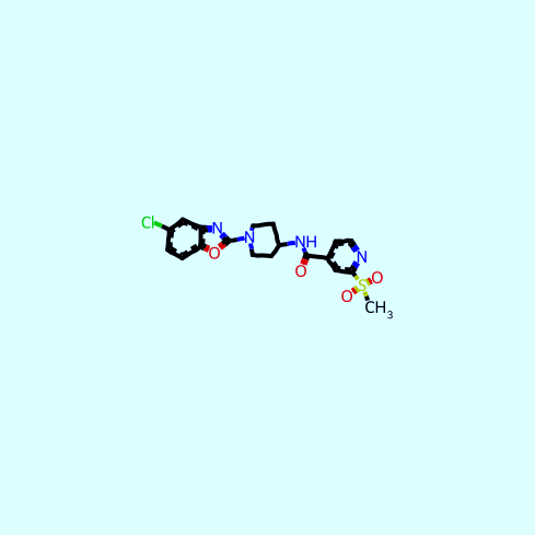 CS(=O)(=O)c1cc(C(=O)NC2CCN(c3nc4cc(Cl)ccc4o3)CC2)ccn1